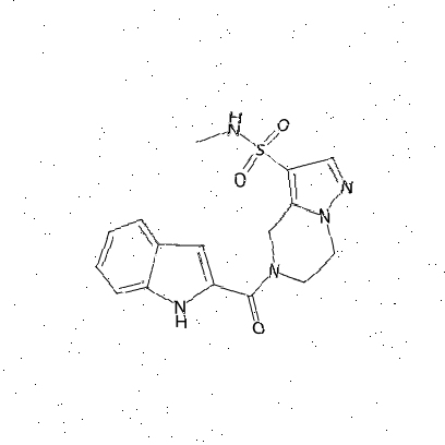 CNS(=O)(=O)c1cnn2c1CN(C(=O)c1cc3ccccc3[nH]1)CC2